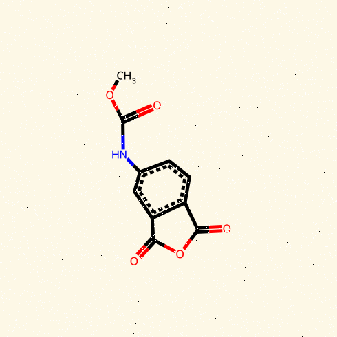 COC(=O)Nc1ccc2c(c1)C(=O)OC2=O